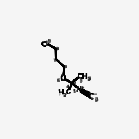 [C-]#[N+]C(C)(C)OCCCCl